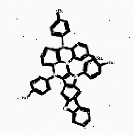 CC(C)(C)c1ccc(N2c3ccc(C(C)(C)C)cc3B3c4c2cccc4N(c2ccc(C(C)(C)C)cc2)c2c3n(-c3ccc(C(C)(C)C)cc3)c3cc4c(cc23)oc2ccccc24)cc1